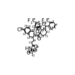 CCC[C@H]1N(C(=O)c2ncccc2C(F)(F)F)CCC[C@@]1(Oc1csc(C(F)(F)F)c1)C(=O)N1Cc2ccc(Cl)cc2C[C@@H]1CCC(=O)NS(C)(=O)=O